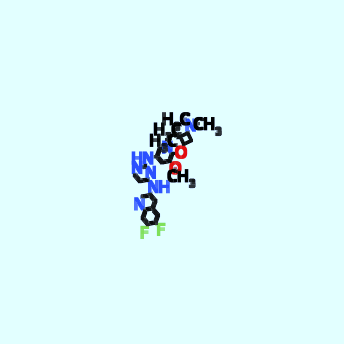 COc1cc(Nc2nccc(Nc3cnc4cc(F)c(F)cc4c3)n2)cnc1O[C@@H]1C[C@H](N(C)C)C1(C)C